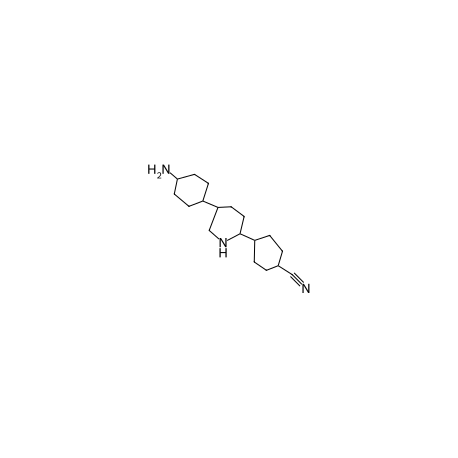 N#CC1CCC(C2CCC(C3CCC(N)CC3)CN2)CC1